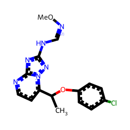 CO/N=C\Nc1nc2nccc(C(C)Oc3ccc(Cl)cc3)n2n1